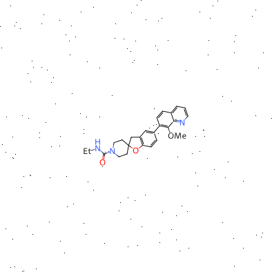 CCNC(=O)N1CCC2(CC1)Cc1cc(-c3ccc4cccnc4c3OC)ccc1O2